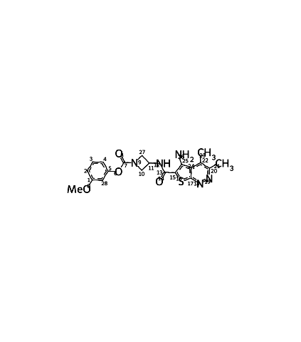 COc1cccc(OC(=O)N2CC(NC(=O)c3sc4nnc(C)c(C)c4c3N)C2)c1